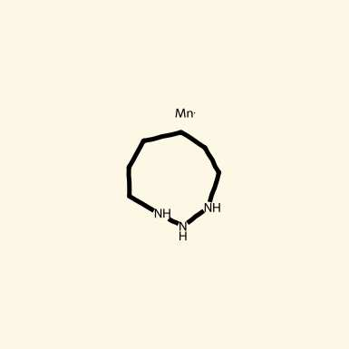 C1CCCNNNCC1.[Mn]